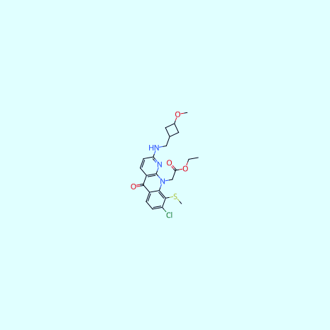 CCOC(=O)Cn1c2nc(NCC3CC(OC)C3)ccc2c(=O)c2ccc(Cl)c(SC)c21